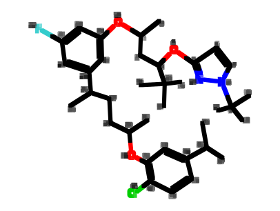 CC(CC(Oc1ccn(C(C)(C)C)n1)C(C)(C)C)Oc1cc(F)cc(C(C)CCC(C)Oc2cc(C(C)C)ccc2Cl)c1